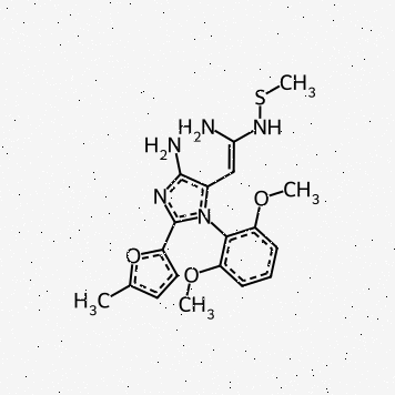 COc1cccc(OC)c1-n1c(-c2ccc(C)o2)nc(N)c1/C=C(\N)NSC